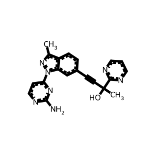 Cc1nn(-c2ccnc(N)n2)c2cc(C#CC(C)(O)c3ncccn3)ccc12